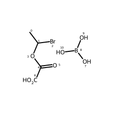 CC(Br)OC(=O)C(=O)O.OB(O)O